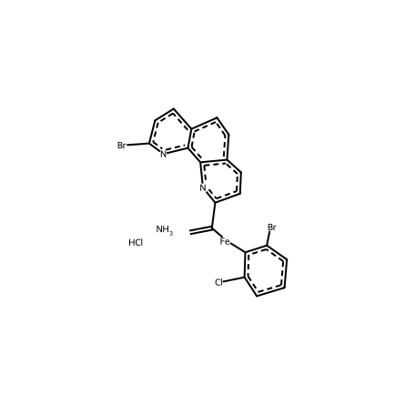 C=[C]([Fe][c]1c(Cl)cccc1Br)c1ccc2ccc3ccc(Br)nc3c2n1.Cl.N